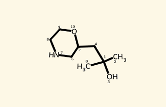 CC(C)(O)CC1CNCCO1